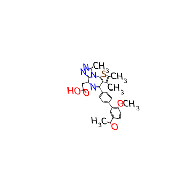 COc1ccc(C(C)=O)cc1-c1ccc(C2=N[C@@H](CC(=O)O)c3nnc(C)n3-c3sc(C)c(C)c32)cc1